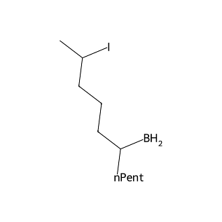 BC(CCCCC)CCCC(C)I